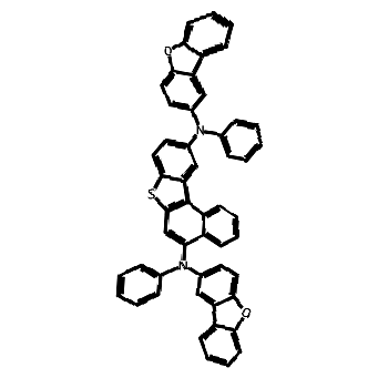 c1ccc(N(c2ccc3oc4ccccc4c3c2)c2ccc3sc4cc(N(c5ccccc5)c5ccc6oc7ccccc7c6c5)c5ccccc5c4c3c2)cc1